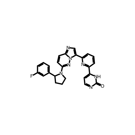 O=c1nccc(-c2cccc(-c3cnc4ccc(N5CCCC5c5cccc(F)c5)nn34)n2)[nH]1